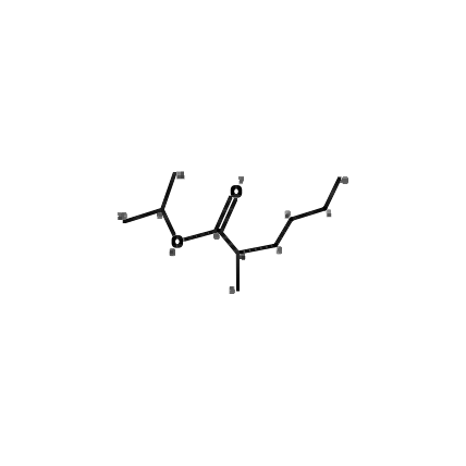 [CH2]CCCC(C)C(=O)OC(C)C